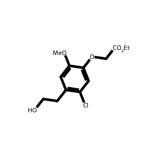 CCOC(=O)COc1cc(Cl)c(CCO)cc1OC